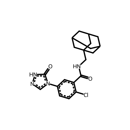 O=C(NCC12CC3CC(CC(C3)C1)C2)c1cc(-n2cn[nH]c2=O)ccc1Cl